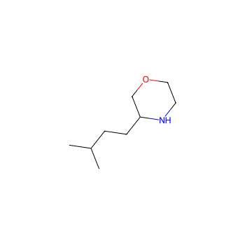 CC(C)CCC1COCCN1